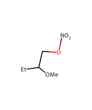 CCC(CO[N+](=O)[O-])OC